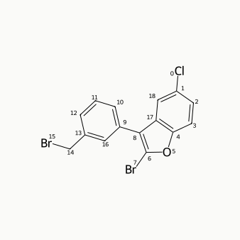 Clc1ccc2oc(Br)c(-c3cccc(CBr)c3)c2c1